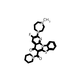 CN1CCCN(c2nc3c(cc2F)c(=O)c(C(=O)N2CCCCC2)c2sc4ccccc4n23)CC1